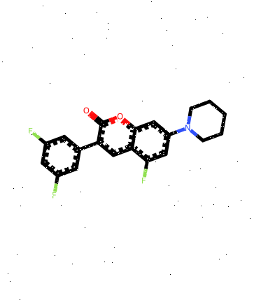 O=c1oc2cc(N3CCCCC3)cc(F)c2cc1-c1cc(F)cc(F)c1